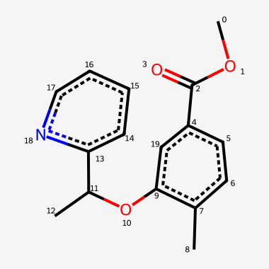 COC(=O)c1ccc(C)c(OC(C)c2ccccn2)c1